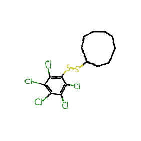 Clc1c(Cl)c(Cl)c(SSC2CCCCCCCC2)c(Cl)c1Cl